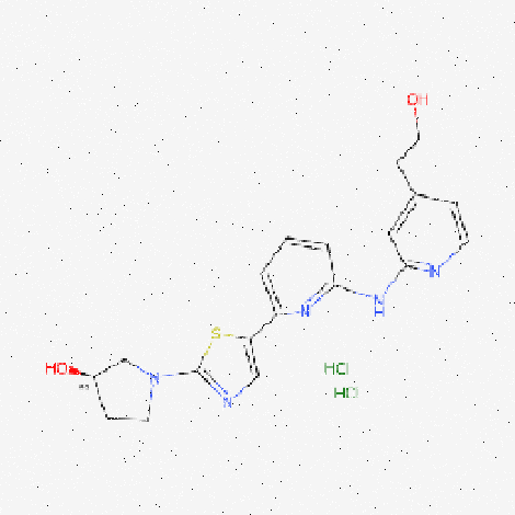 Cl.Cl.OCCc1ccnc(Nc2cccc(-c3cnc(N4CC[C@@H](O)C4)s3)n2)c1